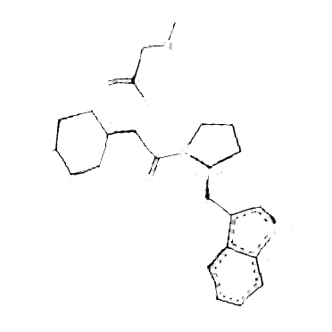 CN[C@@H](C)C(=O)N[C@H](C(=O)N1CCC[C@H]1Cc1coc2ccccc12)C1CCCCC1